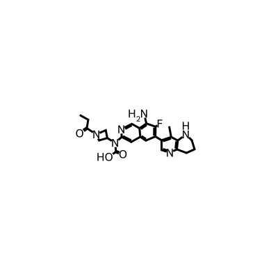 CCC(=O)N1CC(N(C(=O)O)c2cc3cc(-c4cnc5c(c4C)NCCC5)c(F)c(N)c3cn2)C1